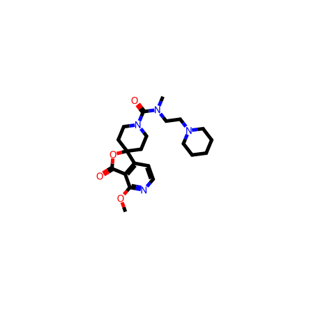 COc1nccc2c1C(=O)OC21CCN(C(=O)N(C)CCN2CCCCC2)CC1